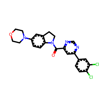 O=C(c1cc(-c2ccc(Cl)c(Cl)c2)ncn1)N1CCc2cc(N3CCOCC3)ccc21